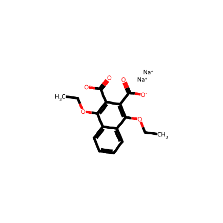 CCOc1c(C(=O)[O-])c(C(=O)[O-])c(OCC)c2ccccc12.[Na+].[Na+]